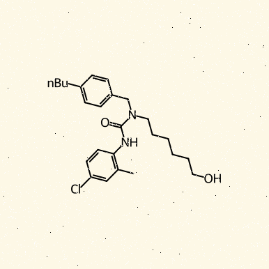 CCCCc1ccc(CN(CCCCCCO)C(=O)Nc2ccc(Cl)cc2C)cc1